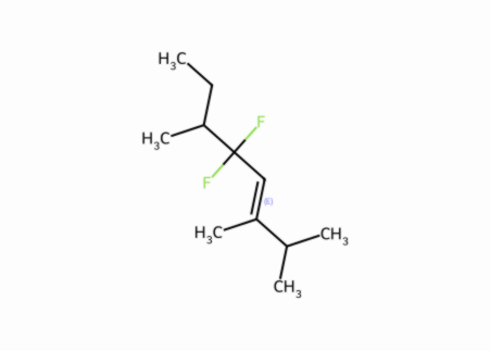 CCC(C)C(F)(F)/C=C(\C)C(C)C